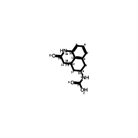 O=C(O)N[C@@H]1Cc2cccc3c2[C@H](CC(=O)N3)C1